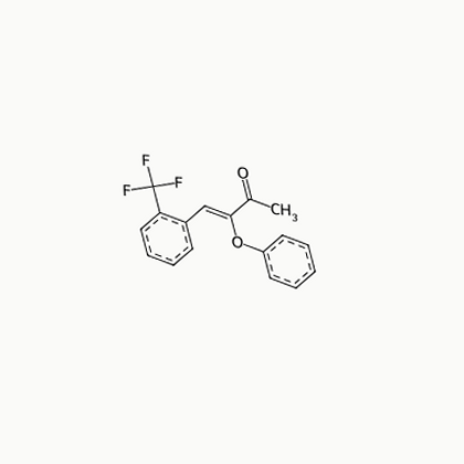 CC(=O)C(=Cc1ccccc1C(F)(F)F)Oc1ccccc1